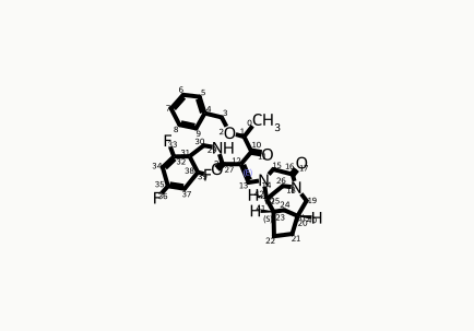 CC(OCc1ccccc1)C(=O)/C(=C\N1CC(=O)N2C[C@@H]3CC[C@@H](C3)[C@@H]1C2)C(=O)NCC1C(F)=CC(F)=CC1F